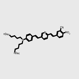 CCCCCCCCCCCCCCN(CCCCCCCCCCCCCC)c1ccc(/C=C/c2ccc(/C=C/c3ccc([N+](=O)[O-])c(C#N)c3)nc2)cc1